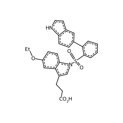 CCOc1ccc2c(c1)c(CCC(=O)O)cn2S(=O)(=O)c1ccccc1-c1ccc2[nH]ccc2c1